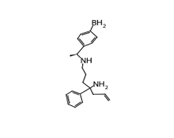 Bc1ccc([C@H](C)NCCCC(N)(CC=C)c2ccccc2)cc1